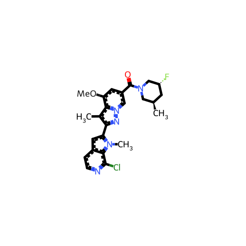 COc1cc(C(=O)N2C[C@H](C)C[C@@H](F)C2)cn2nc(-c3cc4ccnc(Cl)c4n3C)c(C)c12